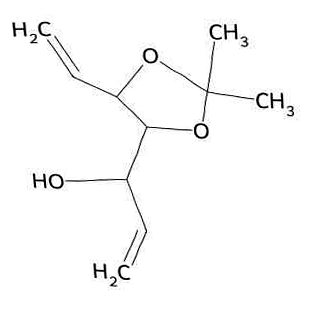 C=CC(O)C1OC(C)(C)OC1C=C